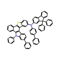 c1ccc(-c2ccc(N(c3ccc4c(c3)C(c3ccccc3)(c3ccccc3)c3ccccc3-4)c3ccc4sc5c6ccccc6c6c(c7ccc(-c8ccccc8)cc7n6-c6ccccc6)c5c4c3)cc2)cc1